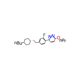 CCCC[C@H]1CC[C@H](CCc2ccc(-c3ccc(OCCC)nn3)c(F)c2)CC1